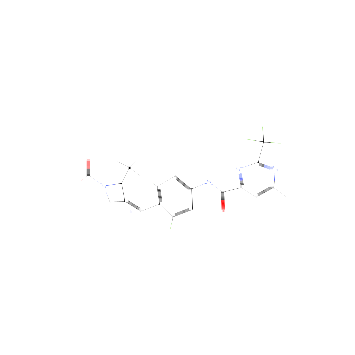 Cc1cc(C(=O)Nc2cc(F)c(/C=C3/CN(C(=O)O)C3C(C)(C)C)c(F)c2)nc(C(F)(F)F)n1